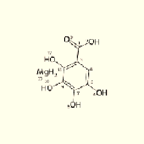 O=C(O)c1cc(O)c(O)c(O)c1O.[MgH2]